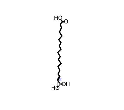 O=C(O)CCCCCCCCCCCCCCC/C=C/B(O)O